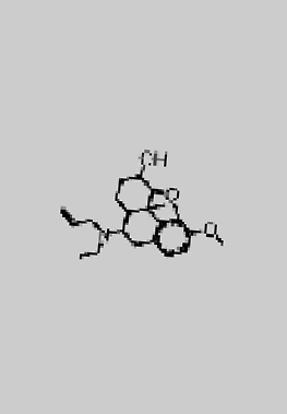 C=CCN(CC)C1Cc2ccc(OC)c3c2C2(C)C1CCC(O)C2O3